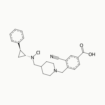 N#Cc1cc(C(=O)O)ccc1CN1CCC(CN(Cl)[C@@H]2C[C@H]2c2ccccc2)CC1